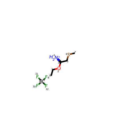 CCOC(=[NH2+])CSC.F[B-](F)(F)F